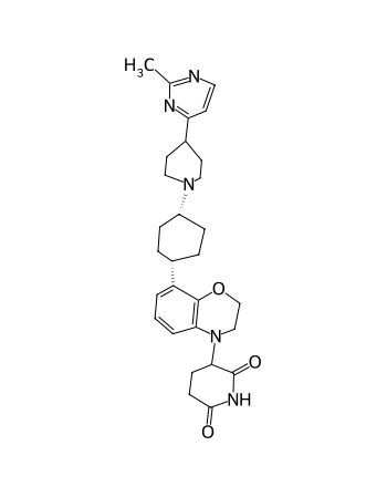 Cc1nccc(C2CCN([C@H]3CC[C@@H](c4cccc5c4OCCN5C4CCC(=O)NC4=O)CC3)CC2)n1